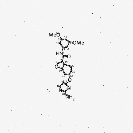 COc1cc(NC(=O)c2coc3cc(Oc4ccnc(N)n4)ccc23)cc(OC)c1